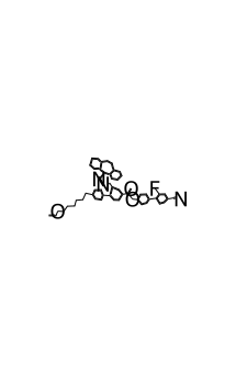 C=COCCCCCCc1ccc(-c2ccc(C(=O)Oc3ccc(-c4ccc(C#N)cc4F)cc3)cc2/C=N/N=c2c3ccccc3ccc3ccccc23)cc1